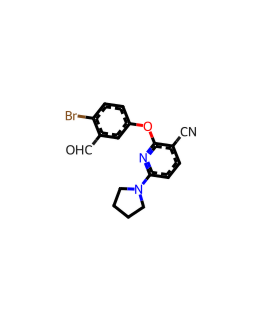 N#Cc1ccc(N2CCCC2)nc1Oc1ccc(Br)c(C=O)c1